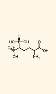 NC(CCC([PH](=O)O)P(=O)(O)O)C(=O)O